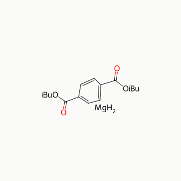 CC(C)COC(=O)c1ccc(C(=O)OCC(C)C)cc1.[MgH2]